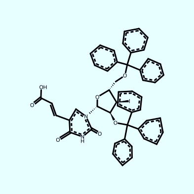 O=C(O)C=Cc1cn([C@@H]2O[C@H](COC(c3ccccc3)(c3ccccc3)c3ccccc3)[C@@H](I)[C@H]2OC(c2ccccc2)(c2ccccc2)c2ccccc2)c(=O)[nH]c1=O